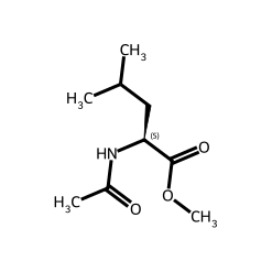 COC(=O)[C@H](CC(C)C)NC(C)=O